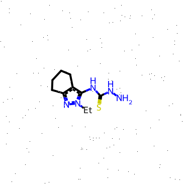 CCn1nc2c(c1NC(=S)NN)CCCC2